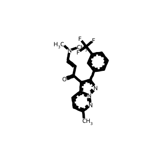 Cc1ccc2c(C(=O)C=CN(C)C)c(-c3cccc(C(F)(F)F)c3)nn2n1